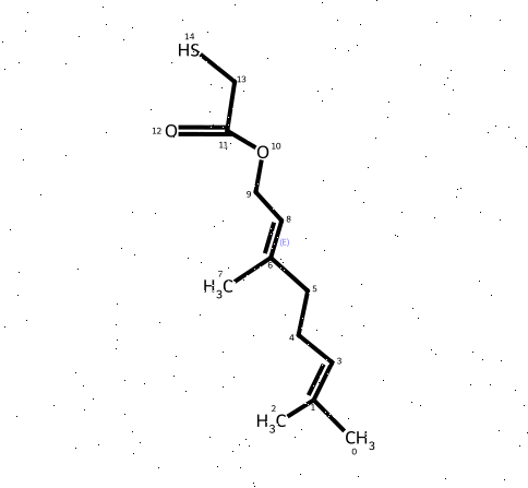 CC(C)=CCC/C(C)=C/COC(=O)CS